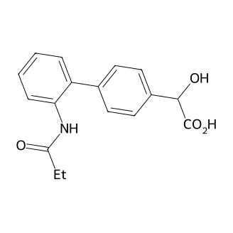 CCC(=O)Nc1ccccc1-c1ccc(C(O)C(=O)O)cc1